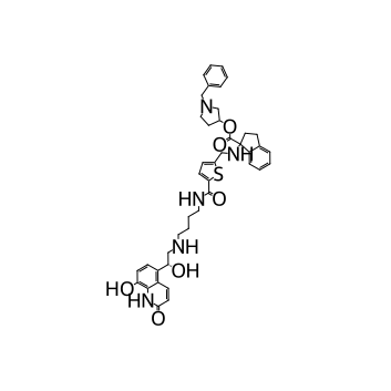 O=C(NCCCCNC[C@H](O)c1ccc(O)c2[nH]c(=O)ccc12)c1ccc(CNC2(C(=O)OC3CCN(Cc4ccccc4)C3)CCc3ccccc32)s1